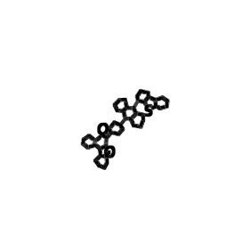 c1ccc2c(c1)oc1c2c2ccccc2c2oc3cc(-c4c5ccccc5c(-c5cccc6c5sc5ccccc56)c5ccccc45)ccc3c21